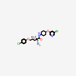 CC(C)(CCCOc1ccc(Cl)cc1)C(=O)NC1CCC(Oc2cncc(Br)c2)CC1